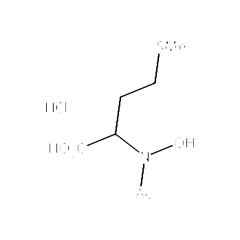 CSCCC(C(=O)O)N(O)C(C)=O.Cl